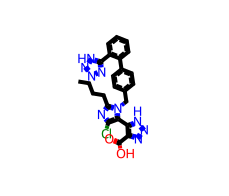 CCCCc1nc(Cl)c(-c2[nH]nnc2C(=O)O)n1Cc1ccc(-c2ccccc2-c2nnn[nH]2)cc1